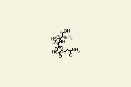 NC(=O)CC[C@H](NC(=O)[C@H](CS)NC(=O)[C@@H](N)CO)C(=O)O